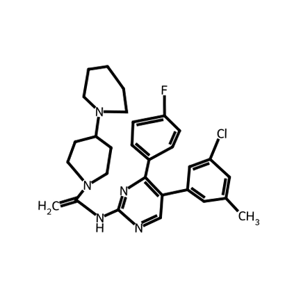 C=C(Nc1ncc(-c2cc(C)cc(Cl)c2)c(-c2ccc(F)cc2)n1)N1CCC(N2CCCCC2)CC1